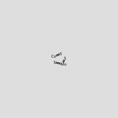 [S]=[Co].[S]=[Mo]=[S]